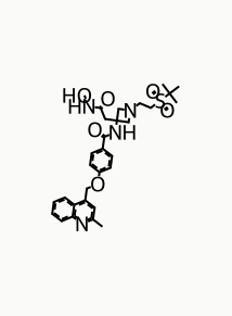 Cc1cc(COc2ccc(C(=O)NC3(CC(=O)NO)CN(CCS(=O)(=O)C(C)(C)C)C3)cc2)c2ccccc2n1